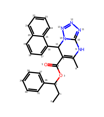 CCC(OC(=O)C1=C(C)Nc2nnnn2C1c1cccc2ccccc12)c1ccccc1